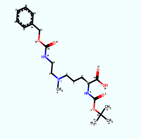 CN(CCC[C@H](NC(=O)OC(C)(C)C)C(=O)O)CCNC(=O)OCc1ccccc1